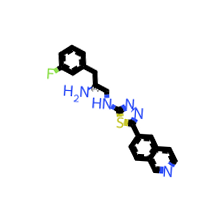 N[C@@H](CNc1nnc(-c2ccc3cnccc3c2)s1)Cc1cccc(F)c1